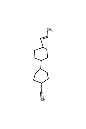 C#CC1CCC(C2CCC(C=CC)CC2)CC1